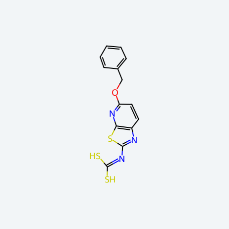 SC(S)=Nc1nc2ccc(OCc3ccccc3)nc2s1